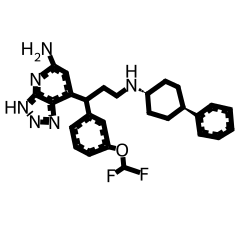 Nc1cc(C(CCN[C@H]2CC[C@H](c3ccccc3)CC2)c2cccc(OC(F)F)c2)c2nn[nH]c2n1